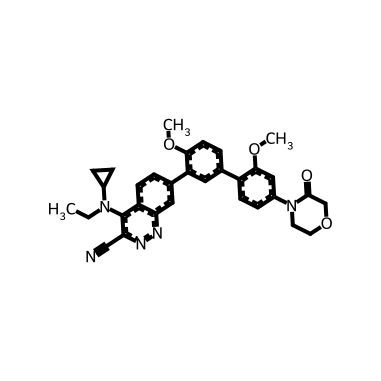 CCN(c1c(C#N)nnc2cc(-c3cc(-c4ccc(N5CCOCC5=O)cc4OC)ccc3OC)ccc12)C1CC1